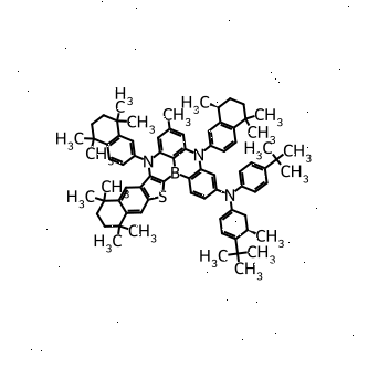 Cc1cc2c3c(c1)N(c1ccc4c(c1)C(C)(C)CCC4(C)C)c1c(sc4cc5c(cc14)C(C)(C)CCC5(C)C)B3c1ccc(N(C3=CC=C(C(C)(C)C)[C@H](C)C3)c3ccc(C(C)(C)C)cc3)cc1N2c1ccc2c(c1)[C@@H](C)CCC2(C)C